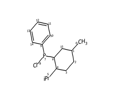 CC1CCC(C(C)C)C(P(Cl)c2ccccc2)C1